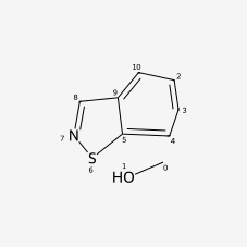 CO.c1ccc2sncc2c1